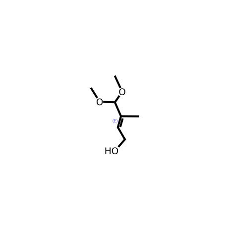 COC(OC)/C(C)=C/CO